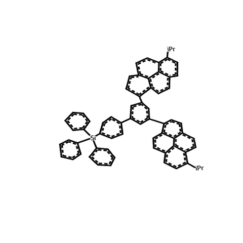 CC(C)c1ccc2ccc3c(-c4cc(-c5ccc([Si](c6ccccc6)(c6ccccc6)c6ccccc6)cc5)cc(-c5ccc6ccc7c(C(C)C)ccc8ccc5c6c87)c4)ccc4ccc1c2c43